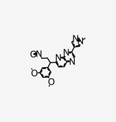 COc1cc(OC)cc(C(CCN=O)c2ccc3ncc(-c4cnn(C)c4)nc3n2)c1